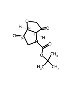 CC(C)(C)OC(=O)N1C[C@@H](Cl)[C@H]2OCC(=O)[C@H]21